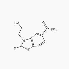 NC(=O)c1ccc2c(c1)N(CCO)C(Cl)S2